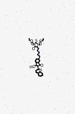 C=COON1C(=O)\C(=C/C=C/C=C/c2ccc3c(c2)C(=O)C(c2ccc4ccccc4n2)=C3O)N(OOC=C)C1=S